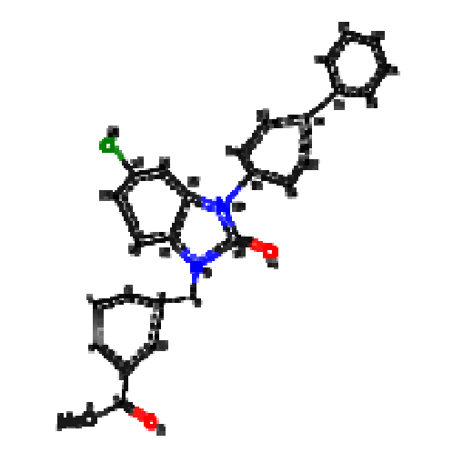 COC(=O)c1cccc(Cn2c(=O)n(-c3ccc(-c4ccccc4)cc3)c3cc(Cl)ccc32)c1